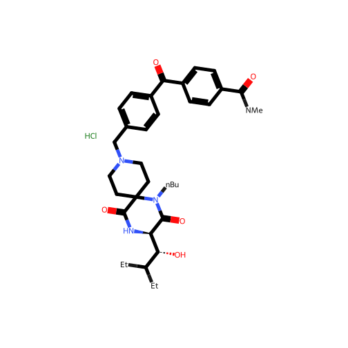 CCCCN1C(=O)[C@@H]([C@H](O)C(CC)CC)NC(=O)C12CCN(Cc1ccc(C(=O)c3ccc(C(=O)NC)cc3)cc1)CC2.Cl